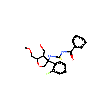 COCC1OCC(NC(=S)NC(=O)c2ccccc2)(c2ccccc2F)C1CO